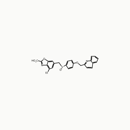 CCc1cc(C[S+]([O-])c2ccc(OCc3ccc4ccccc4n3)cc2)cc2oc(C(=O)O)nc12